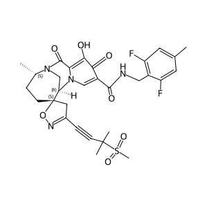 Cc1cc(F)c(CNC(=O)c2cn3c(c(O)c2=O)C(=O)N2C[C@@H]3[C@]3(CC[C@@H]2C)CC(C#CC(C)(C)S(C)(=O)=O)=NO3)c(F)c1